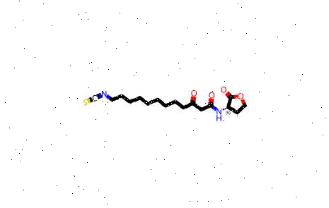 O=C(CCCCCCCCCN=C=S)CC(=O)N[C@H]1CCOC1=O